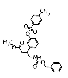 COC(=O)CC(CNC(=O)OCc1ccccc1)c1cccc(OS(=O)(=O)c2ccc(C)cc2)c1